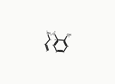 C=CCP.Oc1ccccc1Cl